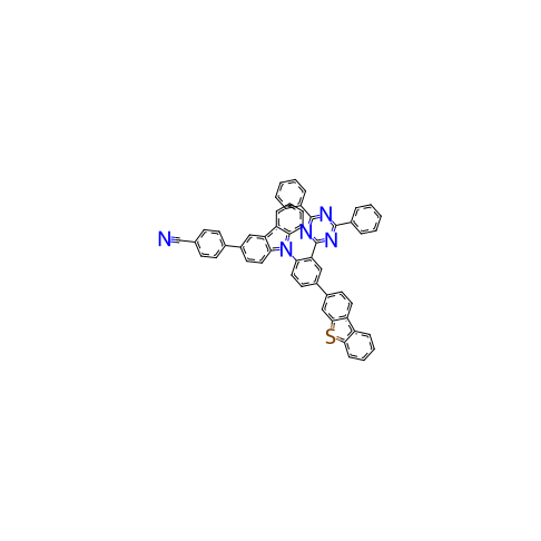 N#Cc1ccc(-c2ccc3c(c2)c2ccccc2n3-c2ccc(-c3ccc4c(c3)sc3ccccc34)cc2-c2nc(-c3ccccc3)nc(-c3ccccc3)n2)cc1